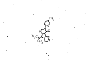 Cc1ccc(-n2cnc3c(N(C)C)c4ccnsc-4c3c2=O)cc1